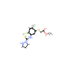 COC(=O)CSc1cc(NC(=S)N2CCCN2)c(F)cc1Cl